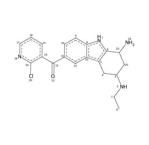 CCNC1Cc2c([nH]c3ccc(C(=O)c4cccnc4Cl)cc23)C(N)C1